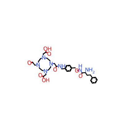 N[C@H](CCc1ccccc1)C(=O)NOCc1ccc(CNC(=O)CN2CCN(CC(=O)O)CCN(CC=O)CCN(CC(=O)O)CC2)cc1